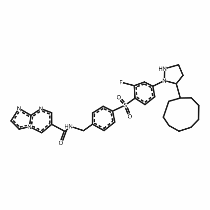 O=C(NCc1ccc(S(=O)(=O)c2ccc(N3NCCC3C3CCCCCCCC3)cc2F)cc1)c1cnc2nccn2c1